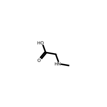 CN[CH]C(=O)O